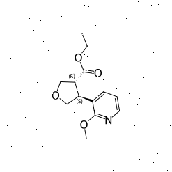 CCOC(=O)[C@H]1COC[C@@H]1c1cccnc1OC